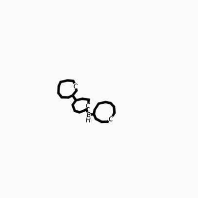 B(C1CCCCCCCCCC1)C1CCCC(C2CCCCCCCCC2)CCC1